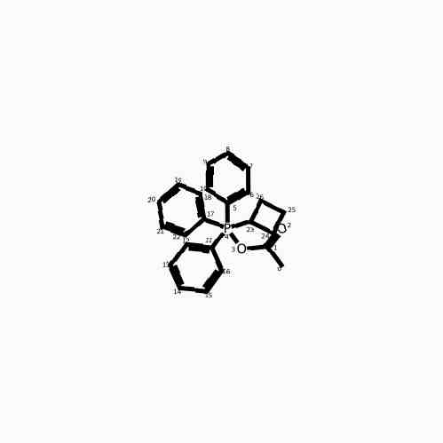 CC(=O)OP(c1ccccc1)(c1ccccc1)(c1ccccc1)C1CCC1